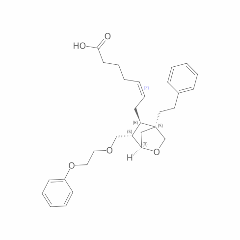 O=C(O)CCC/C=C\C[C@@H]1[C@@H](COCCOc2ccccc2)[C@H]2C[C@]1(CCc1ccccc1)CO2